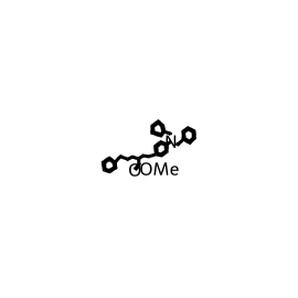 COC(=O)C(CCCc1ccccc1)CCc1ccc(N(Cc2ccccc2)Cc2ccccc2)cc1